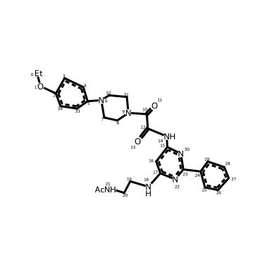 CCOc1ccc(N2CCN(C(=O)C(=O)Nc3cc(NCCNC(C)=O)nc(-c4ccccc4)n3)CC2)cc1